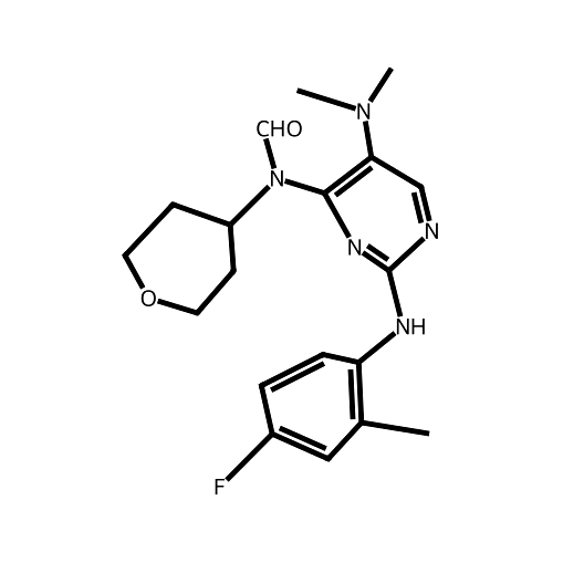 Cc1cc(F)ccc1Nc1ncc(N(C)C)c(N(C=O)C2CCOCC2)n1